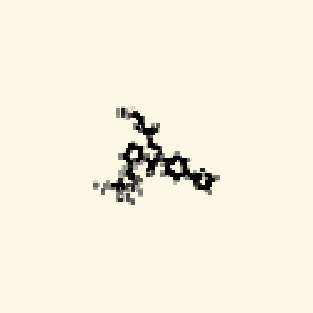 CCOC(=O)CCN(C(=O)[C@@H]1CCCN1C(=O)OC(C)(C)C)c1ccc(-c2nccs2)cc1